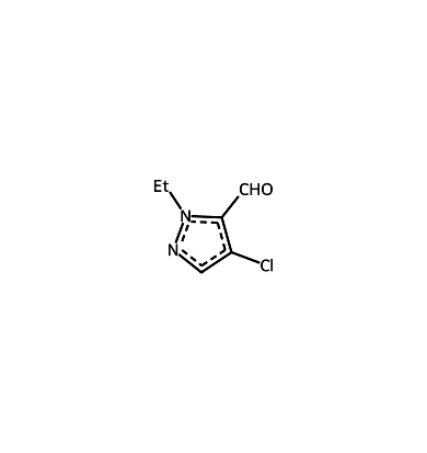 CCn1ncc(Cl)c1C=O